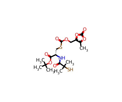 Cc1oc(=O)oc1COC(=O)SC[C@H](NC(=O)C(C)(C)S)C(=O)OC(C)(C)C